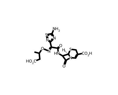 CC(CC(=O)O)ON=C(C(=O)NC1C(=O)N2C=C(C(=O)O)CS[C@H]12)c1nsc(N)n1